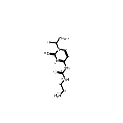 CCCCCC(I)n1ccc(NC(=O)NCCN)nc1=O